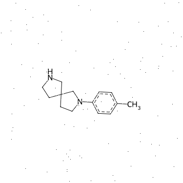 Cc1ccc(N2CCC3(CCNC3)C2)cc1